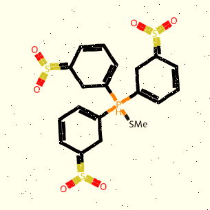 CS[PH](C1=CC=CC(=S(=O)=O)C1)(C1=CC=CC(=S(=O)=O)C1)C1=CC=CC(=S(=O)=O)C1